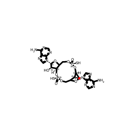 Nc1ncnc2c1ncn2[C@@H]1OC2CO[P@@](=O)(S)O[C@@H]3[C@H](F)C(CO[P@@](=O)(S)O[C@H]2[C@H]1O)O[C@H]3n1cnc2c(N)ncnc21